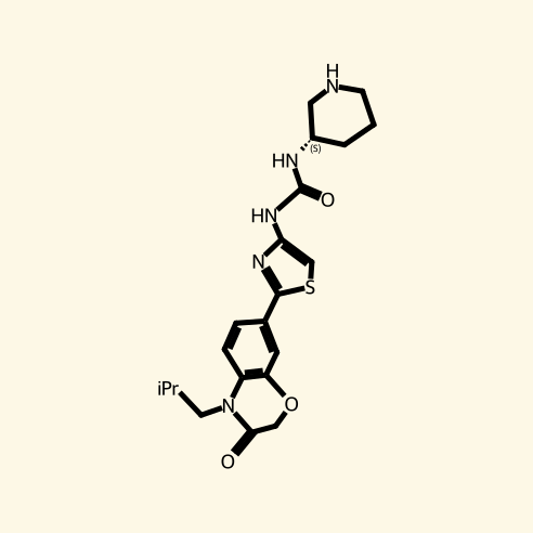 CC(C)CN1C(=O)COc2cc(-c3nc(NC(=O)N[C@H]4CCCNC4)cs3)ccc21